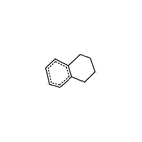 [c]1ccc2c(c1)C[CH]CC2